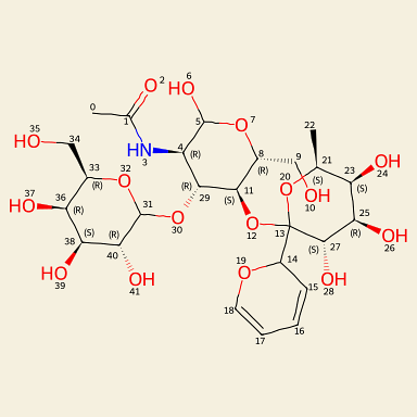 CC(=O)N[C@H]1C(O)O[C@H](CO)[C@@H](OC2(C3C=CC=CO3)O[C@@H](C)[C@@H](O)[C@@H](O)[C@@H]2O)[C@@H]1OC1O[C@H](CO)[C@H](O)[C@H](O)[C@H]1O